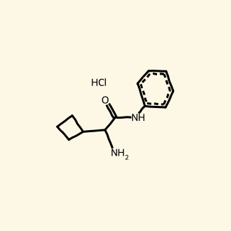 Cl.NC(C(=O)Nc1ccccc1)C1CCC1